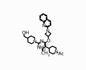 C=C/C(=C(\N=C(/N)N1CCC(CO)CC1)OC1CN(c2ccc3ccccc3n2)C1)C1CCN(C(C)=O)CC1